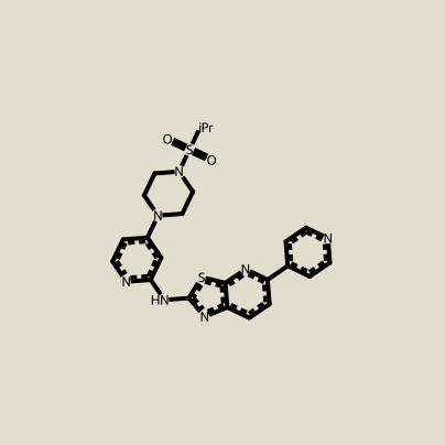 CC(C)S(=O)(=O)N1CCN(c2ccnc(Nc3nc4ccc(-c5ccncc5)nc4s3)c2)CC1